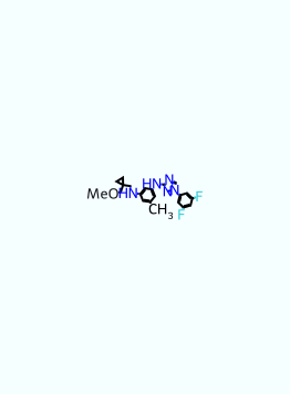 COCC1(CNc2cc(C)cc(Nc3ncn(-c4cc(F)cc(F)c4)n3)c2)CC1